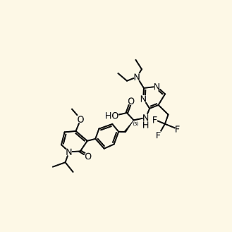 CCN(CC)c1ncc(CC(F)(F)F)c(N[C@@H](Cc2ccc(-c3c(OC)ccn(C(C)C)c3=O)cc2)C(=O)O)n1